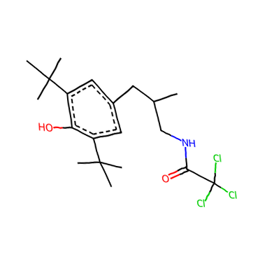 CC(CNC(=O)C(Cl)(Cl)Cl)Cc1cc(C(C)(C)C)c(O)c(C(C)(C)C)c1